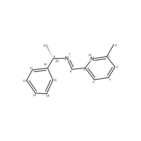 Cc1cccc(C=N[C@@H](C)c2ccccc2)n1